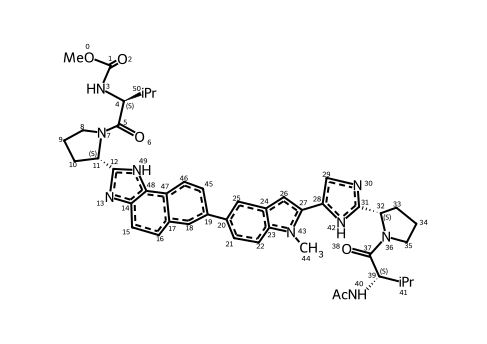 COC(=O)N[C@H](C(=O)N1CCC[C@H]1c1nc2ccc3cc(-c4ccc5c(c4)cc(-c4cnc([C@@H]6CCCN6C(=O)[C@@H](NC(C)=O)C(C)C)[nH]4)n5C)ccc3c2[nH]1)C(C)C